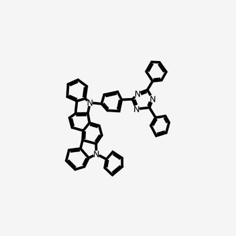 c1ccc(-c2nc(-c3ccccc3)nc(-c3ccc(-n4c5ccccc5c5ccc6c(ccc7c6c6ccccc6n7-c6ccccc6)c54)cc3)n2)cc1